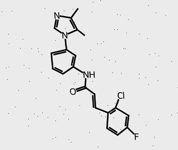 Cc1ncn(-c2cccc(NC(=O)/C=C/c3ccc(F)cc3Cl)c2)c1C